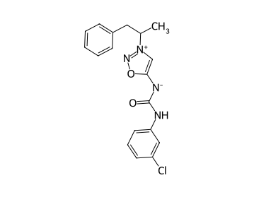 CC(Cc1ccccc1)[n+]1cc([N-]C(=O)Nc2cccc(Cl)c2)on1